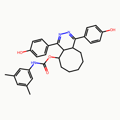 Cc1cc(C)cc(NC(=O)OC2CCCCCC3C(c4ccc(O)cc4)=NN=C(c4ccc(O)cc4)C23)c1